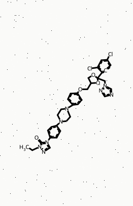 CCn1ncn(-c2ccc(N3CCN(c4ccc(OCC5COC(Cn6cncn6)(c6ccc(Cl)cc6Cl)O5)cc4)CC3)cc2)c1=O